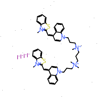 C[n+]1c(C=C2C=CN(CCC[N+](C)(C)CCC[N+](C)(C)CCCN3C=CC(=Cc4sc5ccccc5[n+]4C)c4ccccc43)c3ccccc32)sc2ccccc21.[I-].[I-].[I-].[I-]